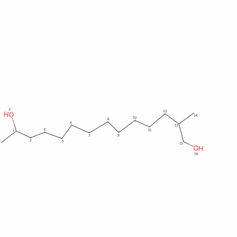 CC(O)CCCCCCCCCCC(C)CO